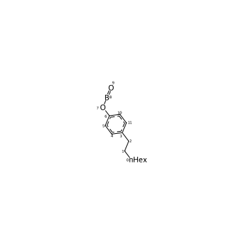 CCCCCCCCc1ccc(OB=O)cc1